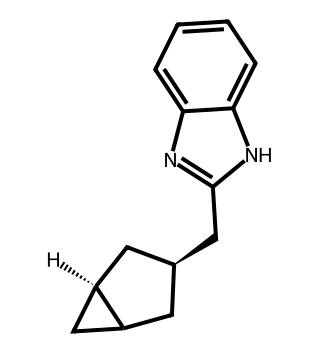 c1ccc2[nH]c(C[C@H]3CC4C[C@H]4C3)nc2c1